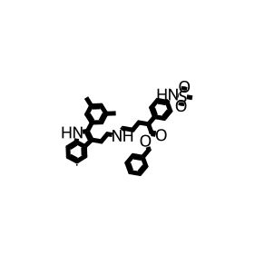 Cc1cc(C)cc(-c2[nH]c3cc[c]cc3c2CCNCCCC(C(=O)OCc2ccccc2)c2ccc(NS(C)(=O)=O)cc2)c1